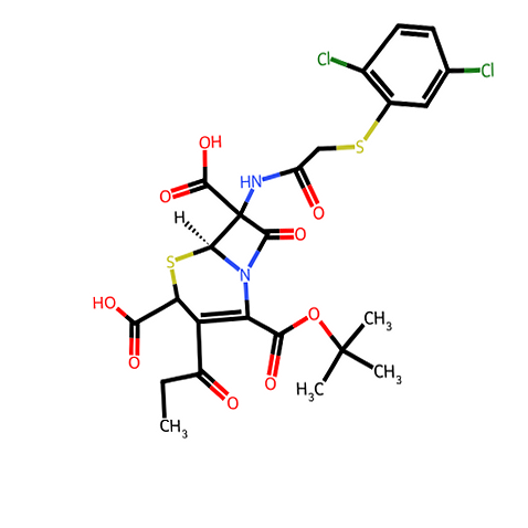 CCC(=O)C1=C(C(=O)OC(C)(C)C)N2C(=O)C(NC(=O)CSc3cc(Cl)ccc3Cl)(C(=O)O)[C@@H]2SC1C(=O)O